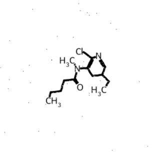 CCCCC(=O)N(C)C1=C(Cl)N=CC(CC)C1